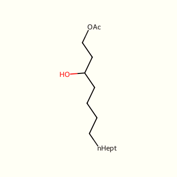 CCCCCCCCCCCC(O)CCOC(C)=O